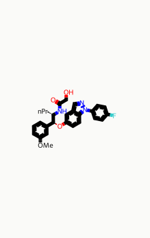 CCC[C@H](NC(=O)CO)[C@H](Oc1ccc2c(cnn2-c2ccc(F)cc2)c1)c1cccc(OC)c1